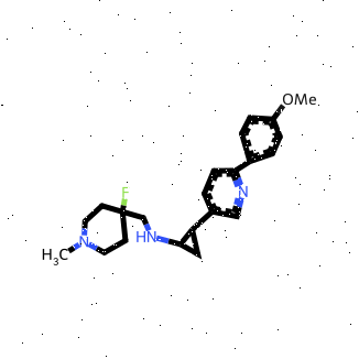 COc1ccc(-c2ccc(C3CC3NCC3(F)CCN(C)CC3)cn2)cc1